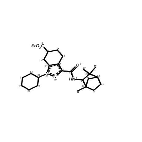 CCOC(=O)C1CCc2c(C(=O)NC3C4(C)CCC(C4)C3(C)C)nn(C3CCCCC3)c2C1